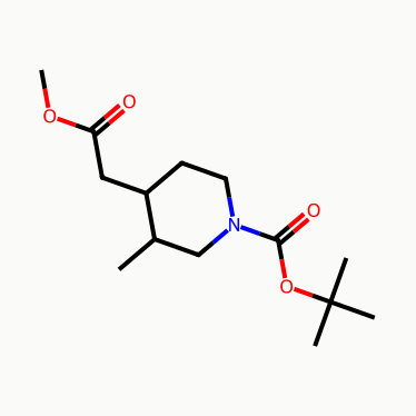 COC(=O)CC1CCN(C(=O)OC(C)(C)C)CC1C